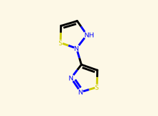 C1=CSN(c2csnn2)N1